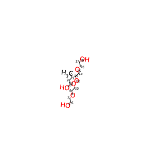 CCCCO.OCCOCCOOCCOCCO